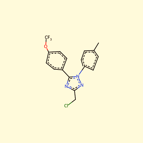 Cc1ccc(-n2nc(CCl)nc2-c2ccc(OC(F)(F)F)cc2)cc1